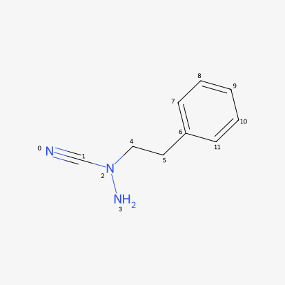 N#CN(N)CCc1ccccc1